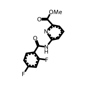 COC(=O)c1cccc(NC(=O)c2ccc(F)cc2F)n1